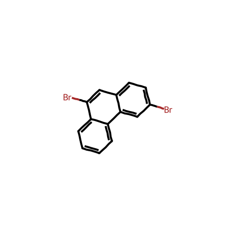 Brc1ccc2cc(Br)c3ccccc3c2c1